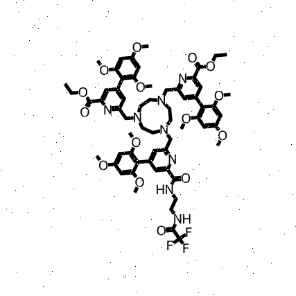 CCOC(=O)c1cc(-c2c(OC)cc(OC)cc2OC)cc(CN2CCN(Cc3cc(-c4c(OC)cc(OC)cc4OC)cc(C(=O)NCCNC(=O)C(F)(F)F)n3)CCN(Cc3cc(-c4c(OC)cc(OC)cc4OC)cc(C(=O)OCC)n3)CC2)n1